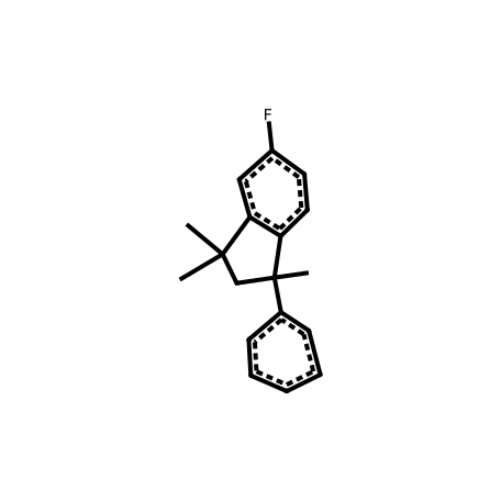 CC1(C)CC(C)(c2ccccc2)c2ccc(F)cc21